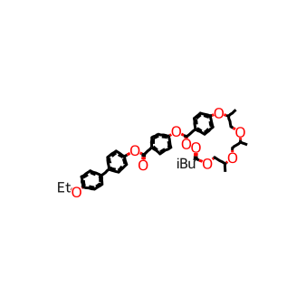 CCOc1ccc(-c2ccc(OC(=O)c3ccc(OC(=O)c4ccc(OC(C)COC(C)COC(C)COC(=O)C(C)CC)cc4)cc3)cc2)cc1